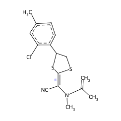 C=C(C)N(C)/C(C#N)=C1\SCC(c2ccc(C)cc2Cl)S1